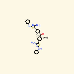 COc1cc(-c2sc(Nc3ccccc3)nc2N)ccc1C(=O)c1ccc(-c2sc(Nc3ccccc3)nc2N)cc1OC